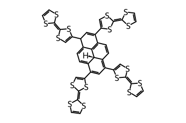 C1=CSC(=C2SC=C(C3=CC(C4=CSC(=C5SC=CS5)S4)=C4C=CC5=C6C(=CC=C3[C@@H]46)C(C3=CSC(=C4SC=CS4)S3)C=C5C3=CSC(=C4SC=CS4)S3)S2)S1